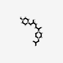 CC(C)CN1CCN(C(C)CCC(C)CN2CCN(C)CC2)CC1